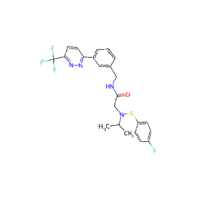 CC(C)N(CC(=O)NCc1cccc(-c2ccc(C(F)(F)F)nn2)c1)Sc1ccc(F)cc1